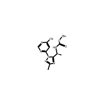 Cc1nc([C@H](C)NC(=O)OC(C)(C)C)n(-c2cc(C#N)ncn2)n1